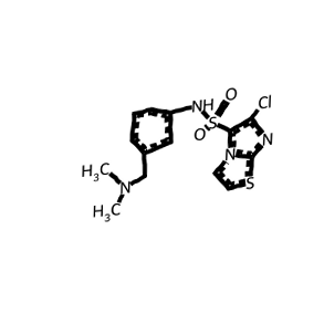 CN(C)Cc1cccc(NS(=O)(=O)c2c(Cl)nc3sccn23)c1